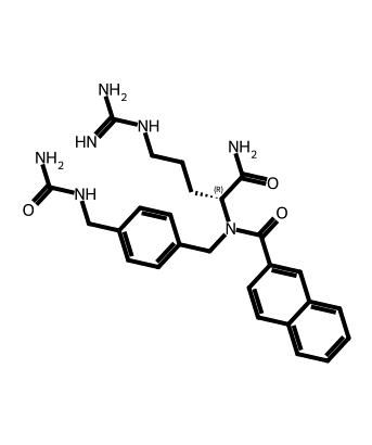 N=C(N)NCCC[C@H](C(N)=O)N(Cc1ccc(CNC(N)=O)cc1)C(=O)c1ccc2ccccc2c1